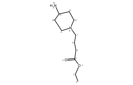 CCOC(=O)CCCN1CCC(N)CC1